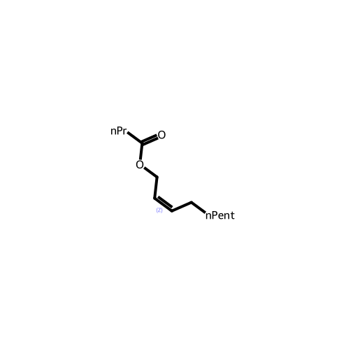 CCCCCC/C=C\COC(=O)CCC